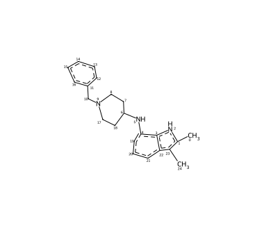 Cc1[nH]c2c(NC3CCN(Cc4ccccc4)CC3)cccc2c1C